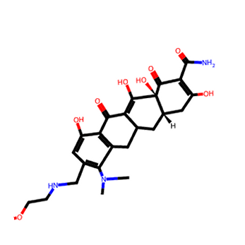 CC(C)OCCNCc1cc(O)c2c(c1N(C)C)CC1C[C@H]3CC(O)=C(C(N)=O)C(=O)[C@@]3(O)C(O)=C1C2=O